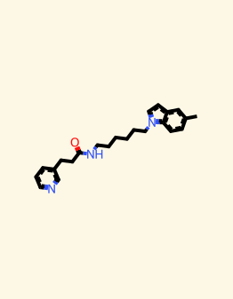 Cc1ccc2c(ccn2CCCCCCNC(=O)CCc2cccnc2)c1